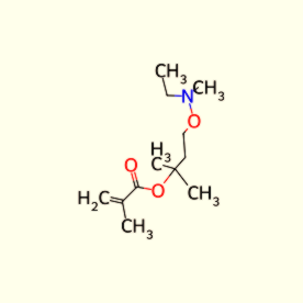 C=C(C)C(=O)OC(C)(C)CCON(C)CC